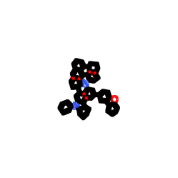 c1ccc(-n2c3ccccc3c3ccc(-c4ccccc4N(c4cccc(-c5ccc6oc7ccccc7c6c5)c4)c4ccccc4-c4cccc5cccc(C6CCCCC6)c45)cc32)cc1